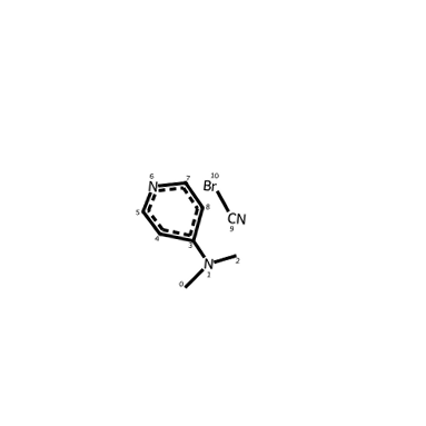 CN(C)c1ccncc1.N#CBr